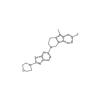 Cn1c2c(c3ccc(F)cc31)CN(c1ccc3nc(N4CCOCC4)sc3c1)CC2